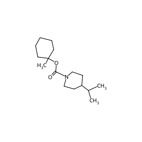 CC(C)C1CCN(C(=O)OC2(C)CCCCC2)CC1